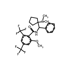 COc1cc(C(F)(F)F)cc(C(F)(F)F)c1C(=O)NC(c1ccccc1)C1(N(C)C)CCCC1